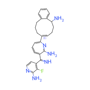 N=C(C1=C=CC=C(/C2=C/CCC(N)c3ccccc3CCC2)N=C1N)c1ccnc(N)c1F